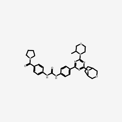 CC1COCCN1c1nc(-c2ccc(NC(=O)Nc3ccc(C(=O)N4CCCC4)cc3)cc2)nc(N2C3CCC2COC3)n1